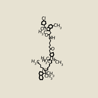 CCCCC[N+]1=C(/C=C/C=C/C=C2/N(CC)c3ccc(CC(=O)CCCCCNC(=O)Cc4c(C)n(C(=O)c5ccc(Cl)cc5)c5ccc(C)cc45)cc3C2(C)C)C(C)(C)c2c1ccc1ccccc21